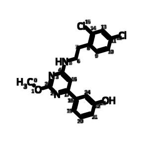 COc1nc(NCCc2ccc(Cl)cc2Cl)cc(-c2cccc(O)c2)n1